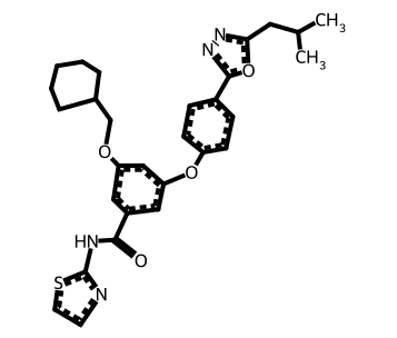 CC(C)Cc1nnc(-c2ccc(Oc3cc(OCC4CCCCC4)cc(C(=O)Nc4nccs4)c3)cc2)o1